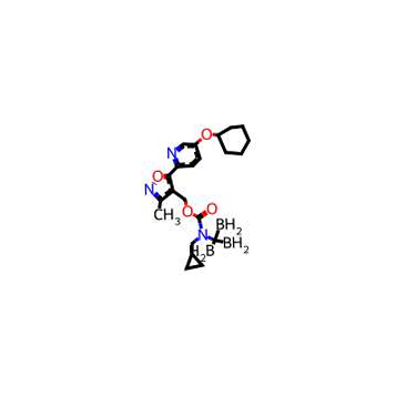 BC(B)(B)N(CC1CC1)C(=O)OCc1c(C)noc1-c1ccc(OC2CCCCC2)cn1